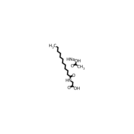 CC(=O)O.CCCCCCCCCCCC(=O)NCC(=O)O.[NaH]